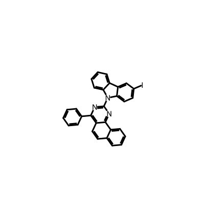 Ic1ccc2c(c1)c1ccccc1n2-c1nc(-c2ccccc2)c2ccc3ccccc3c2n1